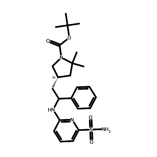 CC(C)(C)OC(=O)N1C[C@@H](CC(Nc2cccc(S(N)(=O)=O)n2)c2ccccc2)CC1(C)C